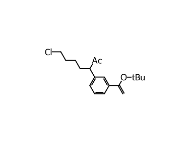 C=C(OC(C)(C)C)c1cccc(C(CCCCCl)C(C)=O)c1